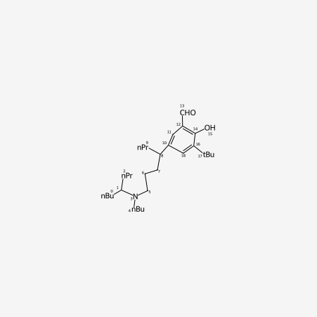 CCCCC(CCC)N(CCCC)CCCC(CCC)c1cc(C=O)c(O)c(C(C)(C)C)c1